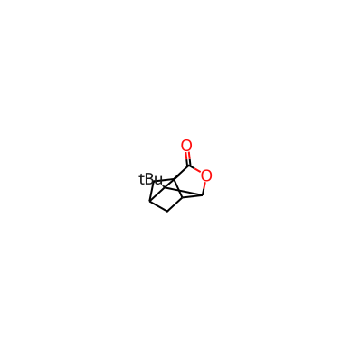 CC(C)(C)C1(C)C2CC3C(=O)OC1C3C2